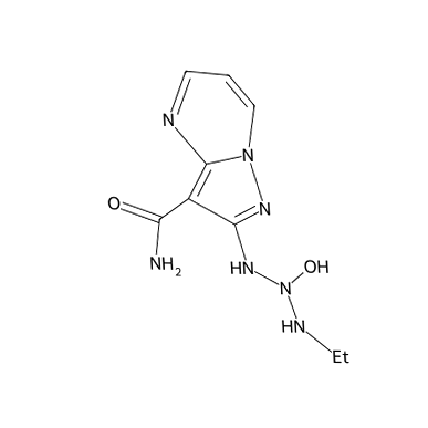 CCNN(O)Nc1nn2cccnc2c1C(N)=O